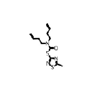 C=CCCN(CCC=C)C(=O)Sc1nsc(C)n1